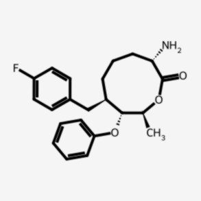 C[C@@H]1OC(=O)[C@@H](N)CCC[C@H](Cc2ccc(F)cc2)[C@H]1Oc1ccccc1